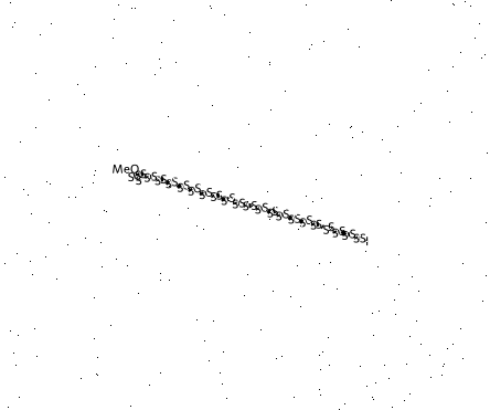 COS(=S)(=S)SSSSSSSSSSSSSSSSSSSSSSSSSSSSSSSSSSSSSSSSSI